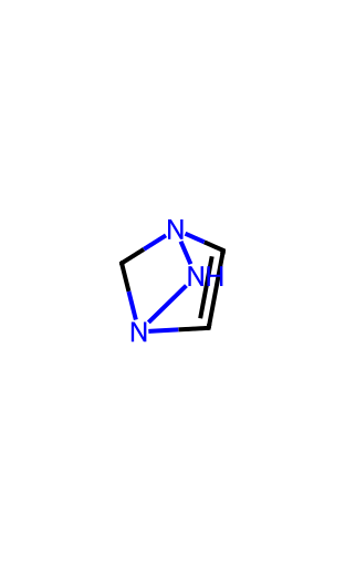 C1=CN2CN1N2